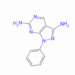 Nc1ncc2c(N)nn(-c3ccccc3)c2n1